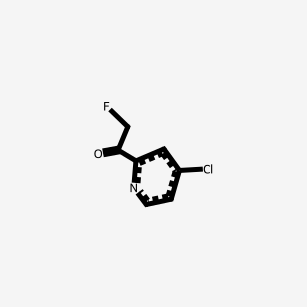 O=C(CF)c1cc(Cl)ccn1